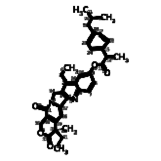 CCc1c2c(nc3ccc(OC(=O)C(C)c4ccc(CC(C)C)cc4)cc13)-c1cc3c(c(=O)n1C2)COC(=O)[C@]3(C)CC